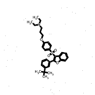 CCN(CC)CCCOc1ccc(S(=O)(=O)c2c(-c3cccc(C(C)(C)C)c3)oc3ccccc23)cc1